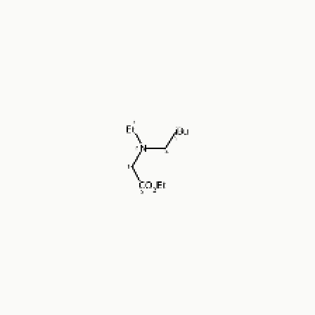 CCOC(=O)CN(CC)CC(C)CC